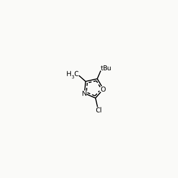 Cc1nc(Cl)oc1C(C)(C)C